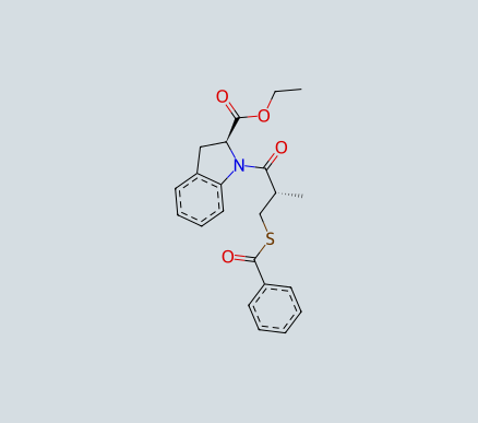 CCOC(=O)[C@@H]1Cc2ccccc2N1C(=O)[C@H](C)CSC(=O)c1ccccc1